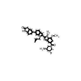 COc1cc(C(=O)N2C[C@H](N)C[C@@H](F)C2)cc2nc(-c3cc4ccc(-c5ccc6c(c5)CC(=O)N6)cc4n3CC3CC3)n(C)c12